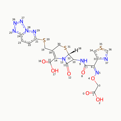 O=C(O)CO/N=C(\C(=O)NC1C(=O)N2C(C(=O)O)=C(CSc3ccc4nnnn4n3)CS[C@H]12)c1cscn1